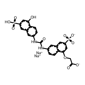 O=C([O-])COc1cc(S(=O)(=O)[O-])cc2cc(NC(=O)Nc3ccc4c(O)cc(S(=O)(=O)O)cc4c3)ccc12.[Na+].[Na+]